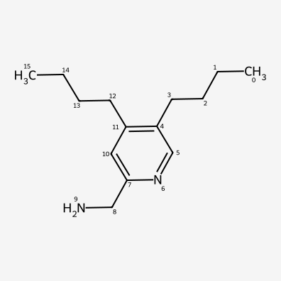 CCCCc1cnc(CN)cc1CCCC